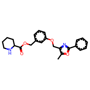 Cc1oc(-c2ccccc2)nc1COc1cccc(COC(=O)C2CCCCN2)c1